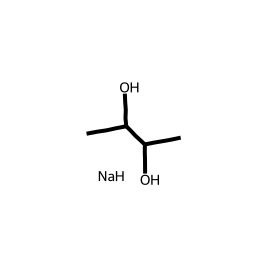 CC(O)C(C)O.[NaH]